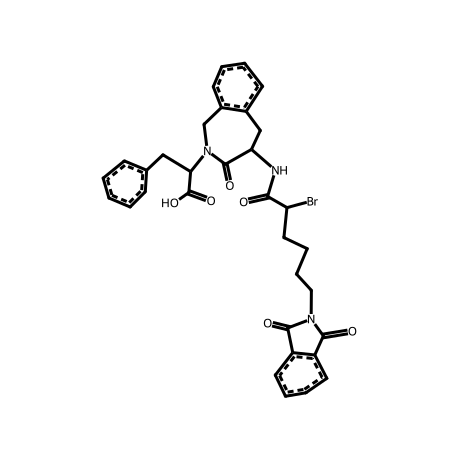 O=C(NC1Cc2ccccc2CN(C(Cc2ccccc2)C(=O)O)C1=O)C(Br)CCCCN1C(=O)c2ccccc2C1=O